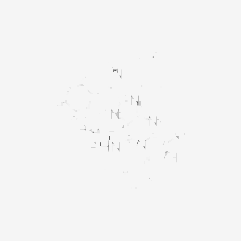 CC(Nc1nc(C(=O)O)nc2nc(CN(C)C3CCCCC3)n(C(c3ccccc3)C(F)(F)F)c12)C1CCC1